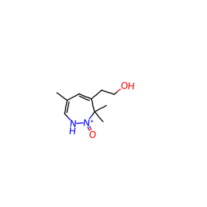 CC1=CN[N+](=O)C(C)(C)C(CCO)=C1